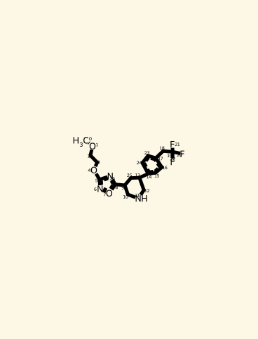 COCCOc1noc(C2CNCC(c3ccc(CC(F)(F)F)cc3)C2)n1